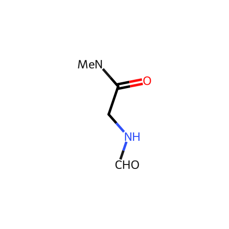 CNC(=O)CNC=O